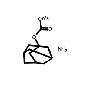 COC(=O)OC12CC3CC(CC(C3)C1)C2.N